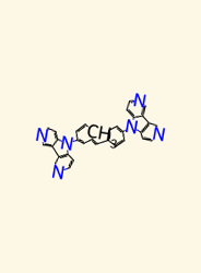 C\C=C/C(=C\C=C\c1ccc(-n2c3ccncc3c3cnccc32)cc1)n1c2ccncc2c2cnccc21